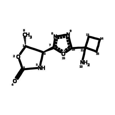 C[C@H]1OC(=O)N[C@@H]1c1nnc(C2(N)CCC2)o1